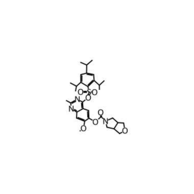 COc1cc2nc(C)nc(OS(=O)(=O)c3c(C(C)C)cc(C(C)C)cc3C(C)C)c2cc1OC(=O)N1CC2COCC2C1